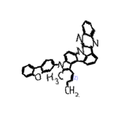 C=C/C=C\c1c(C)n(-c2ccc3c(c2)oc2ccccc23)c2ccc3c(c4cccc5c6nc7ccccc7nc6n3c54)c12